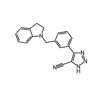 N#Cc1[nH]nnc1-c1cccc(CN2CCc3ccccc32)c1